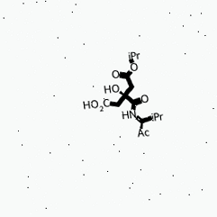 CC(=O)[C@@H](NC(=O)[C@](O)(CC(=O)O)CC(=O)OC(C)C)C(C)C